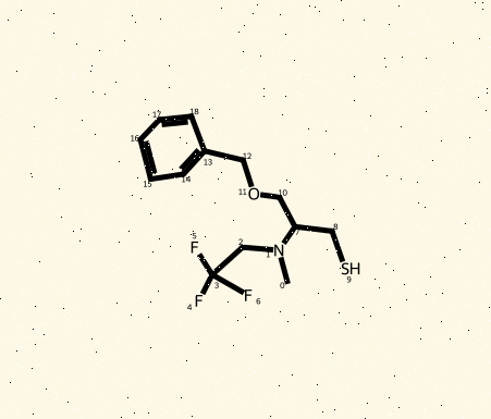 CN(CC(F)(F)F)C(CS)COCc1ccccc1